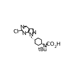 CC(C)(C)N(C(=O)O)[C@H]1CC[C@H](Cn2ncc3cnc(Cl)nc32)CC1